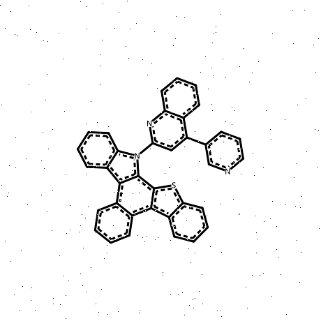 c1cncc(-c2cc(-n3c4ccccc4c4c5ccccc5c5c6ccccc6sc5c43)nc3ccccc23)c1